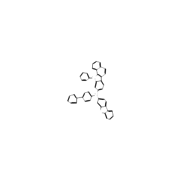 c1ccc(-c2ccc(N(c3ccc4c(c3)oc3ccccc34)c3ccc4c5ccc6ccccc6c5n(-c5ccccc5)c4c3)cc2)cc1